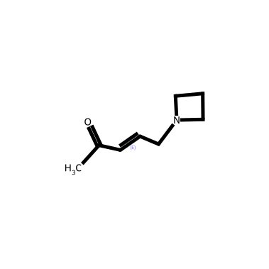 CC(=O)/C=C/CN1CCC1